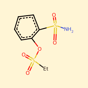 CCS(=O)(=O)Oc1ccccc1S(N)(=O)=O